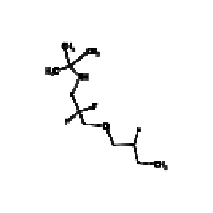 CCC(F)COCC(F)(F)CNC(C)(C)C